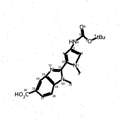 Cn1cc(NC(=O)OC(C)(C)C)cc1-c1nc2cc(C(=O)O)ccc2n1C